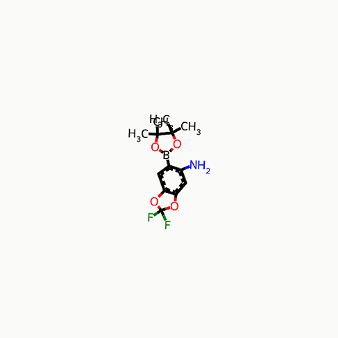 CC1(C)OB(c2cc3c(cc2N)OC(F)(F)O3)OC1(C)C